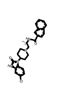 C[C@@H](CN1CCC(n2c(=O)[nH]c3cc(Cl)ccc32)CC1)NC(=O)c1ccc2ccccc2c1